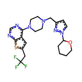 FC(F)(F)Cc1cc2c(N3CCN(Cc4ccn(C5CCCCO5)n4)CC3)ncnc2s1